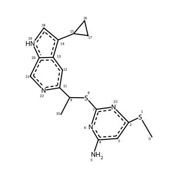 CSc1cc(N)nc(SC(C)c2cc3c(C4CC4)c[nH]c3cn2)n1